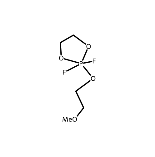 COCCOP1(F)(F)OCCO1